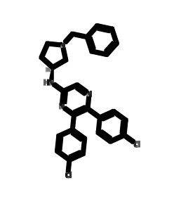 Clc1ccc(-c2ncc(N[C@H]3CCN(Cc4ccccc4)C3)nc2-c2ccc(Cl)cc2)cc1